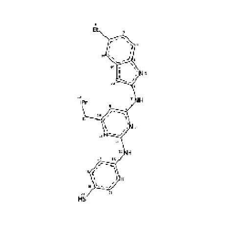 CCc1ccc2nc(Nc3cc(CC(C)C)nc(Nc4ccc(S)cc4)n3)sc2c1